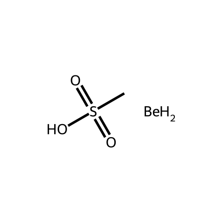 CS(=O)(=O)O.[BeH2]